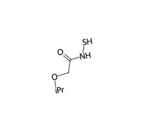 CC(C)OCC(=O)NS